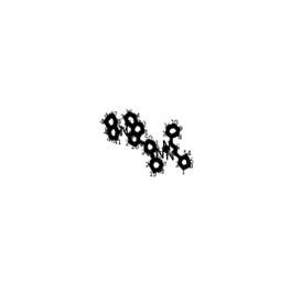 c1ccc(-c2cc(-c3ccccc3)nc(-n3c4ccccc4c4cc(-c5ccc6c7c5ccc5cccc(c57)n6-c5cccc6ccccc56)ccc43)n2)cc1